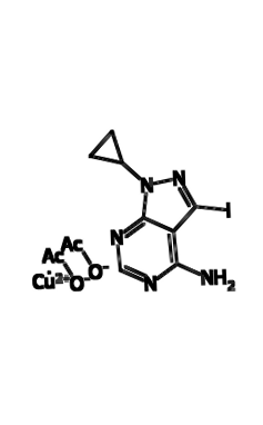 CC(=O)[O-].CC(=O)[O-].Nc1ncnc2c1c(I)nn2C1CC1.[Cu+2]